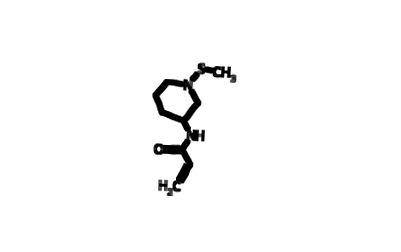 C=CC(=O)NC1CCCN(SC)C1